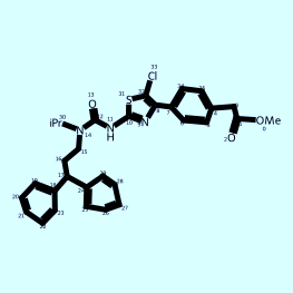 COC(=O)Cc1ccc(-c2nc(NC(=O)N(CCC(c3ccccc3)c3ccccc3)C(C)C)sc2Cl)cc1